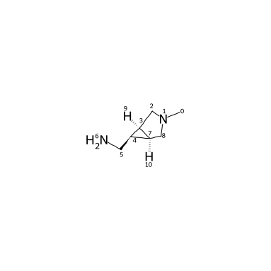 CN1C[C@@H]2[C@H](CN)[C@@H]2C1